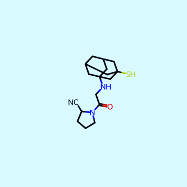 N#CC1CCCN1C(=O)CNC12CC3CC(CC(S)(C3)C1)C2